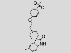 Cc1ccc2c(c1)C1(CCN(CCOC3C=CC(S(C)(=O)=O)=CC3)CC1)C(=O)N2